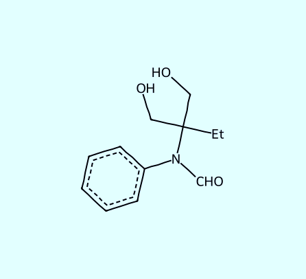 CCC(CO)(CO)N(C=O)c1ccccc1